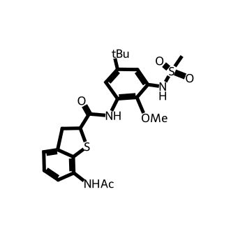 COc1c(NC(=O)C2Cc3cccc(NC(C)=O)c3S2)cc(C(C)(C)C)cc1NS(C)(=O)=O